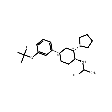 CC(C)N[C@H]1CC[C@H](c2cccc(OC(F)(F)F)c2)C[C@@H]1N1CCCC1